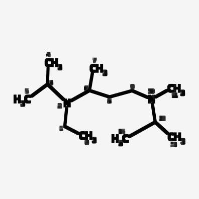 CCN(C(C)C)C(C)CCN(C)C(C)C